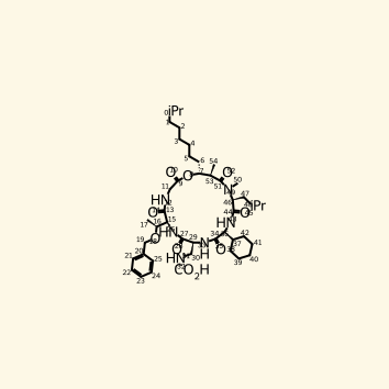 CC(C)CCCCCC[C@H]1OC(=O)CNC(=O)[C@H]([C@H](C)OCc2ccccc2)NC(=O)[C@H](CNC(=O)O)NC(=O)[C@H](C2CCCCC2)NC(=O)[C@H](CC(C)C)N(C)C(=O)[C@@H]1C